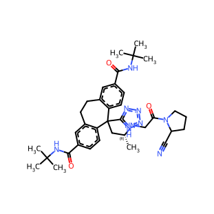 C[C@H](CC1(c2nnn[nH]2)c2ccc(C(=O)NC(C)(C)C)cc2CCc2cc(C(=O)NC(C)(C)C)ccc21)NCC(=O)N1CCCC1C#N